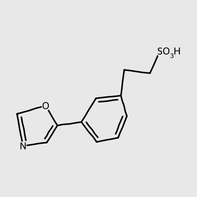 O=S(=O)(O)CCc1cccc(-c2cnco2)c1